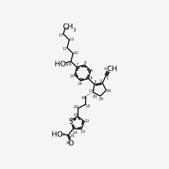 C#CC1=C(c2ccc(C(O)CCCCC)cc2)[C@@H](CCCc2ccc(C(=O)O)s2)CC1